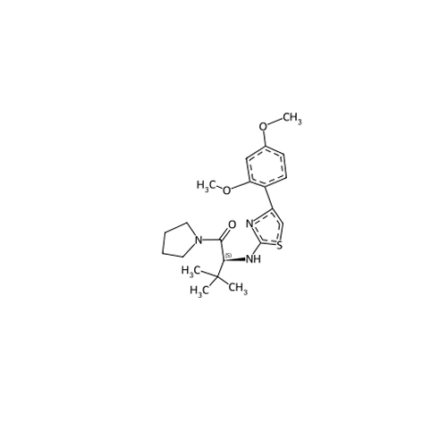 COc1ccc(-c2csc(N[C@H](C(=O)N3CCCC3)C(C)(C)C)n2)c(OC)c1